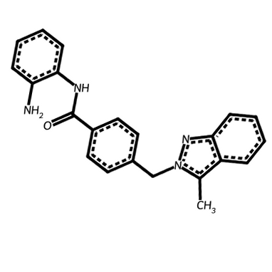 Cc1c2ccccc2nn1Cc1ccc(C(=O)Nc2ccccc2N)cc1